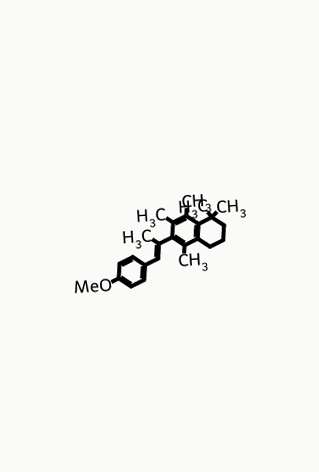 COc1ccc(C=C(C)c2c(C)c(C)c3c(c2C)CCCC3(C)C)cc1